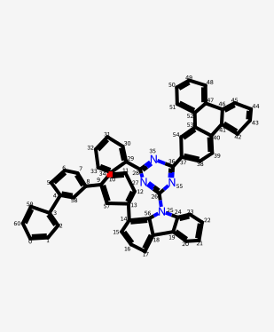 c1ccc(-c2cccc(-c3cccc(-c4cccc5c6ccccc6n(-c6nc(-c7ccccc7)nc(-c7ccc8c9ccccc9c9ccccc9c8c7)n6)c45)c3)c2)cc1